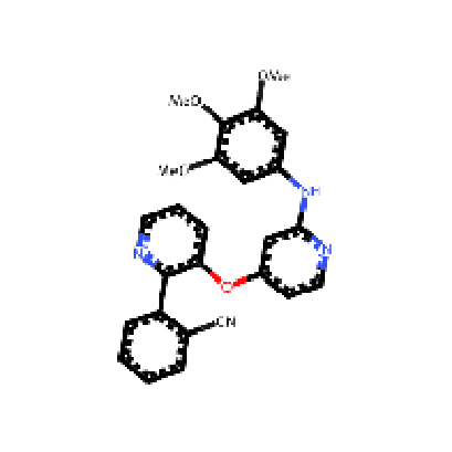 COc1cc(Nc2cc(Oc3cccnc3-c3ccccc3C#N)ccn2)cc(OC)c1OC